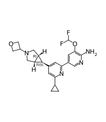 Nc1ncc(-c2cc([C@H]3[C@@H]4CN(C5COC5)C[C@@H]43)cc(C3CC3)n2)cc1OC(F)F